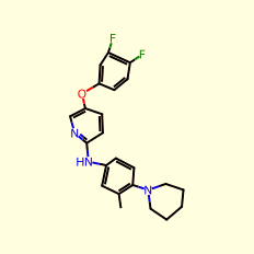 Cc1cc(Nc2ccc(Oc3ccc(F)c(F)c3)cn2)ccc1N1CCCCC1